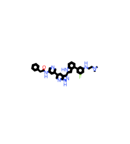 CN(C)CCNc1cc(F)cc(-c2cccc3[nH]c(-c4n[nH]c5ncc(-c6cncc(NC(=O)Cc7ccccc7)c6)cc45)cc23)c1